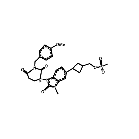 COc1ccc(CN2C(=O)CC[C@H](n3c(=O)n(C)c4cc(C5CC(COS(C)(=O)=O)C5)ccc43)C2=O)cc1